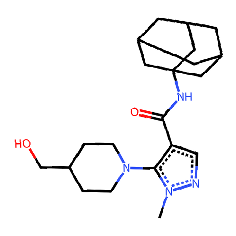 Cn1ncc(C(=O)NC23CC4CC(CC(C4)C2)C3)c1N1CCC(CO)CC1